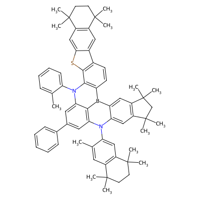 Cc1cc2c(cc1N1c3cc4c(cc3B3c5ccc6c(sc7cc8c(cc76)C(C)(C)CCC8(C)C)c5N(c5ccccc5C)c5cc(-c6ccccc6)cc1c53)C(C)(C)CC4(C)C)C(C)(C)CCC2(C)C